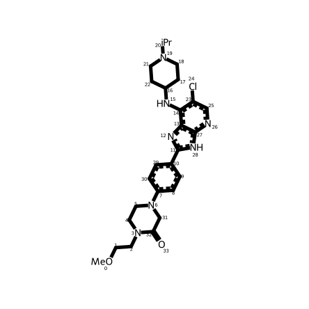 COCCN1CCN(c2ccc(-c3nc4c(NC5CCN(C(C)C)CC5)c(Cl)cnc4[nH]3)cc2)CC1=O